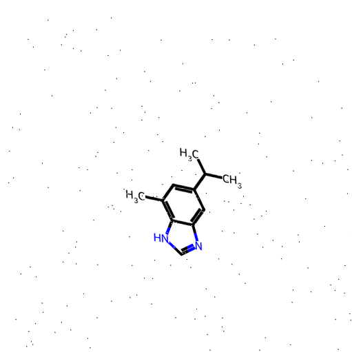 Cc1cc(C(C)C)cc2nc[nH]c12